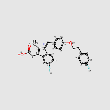 CC1=C(CC(=O)O)c2cc(F)ccc2/C1=C\c1ccc(OCCc2ccc(F)cc2)cc1